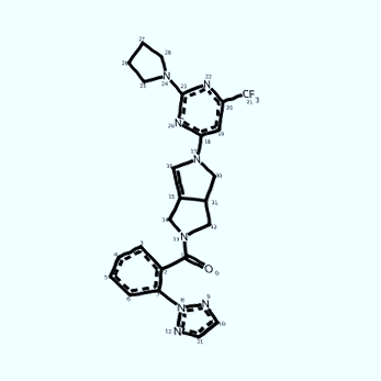 O=C(c1ccccc1-n1nccn1)N1CC2=CN(c3cc(C(F)(F)F)nc(N4CCCC4)n3)CC2C1